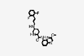 COc1cnc2cccc(NC(=O)C3CCC(NC/C=C/c4c(F)cccc4F)CN3)c2n1